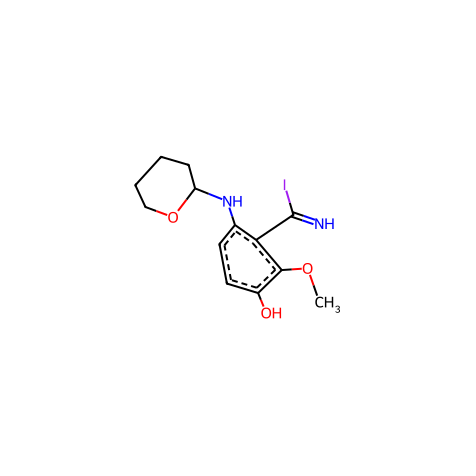 COc1c(O)ccc(NC2CCCCO2)c1C(=N)I